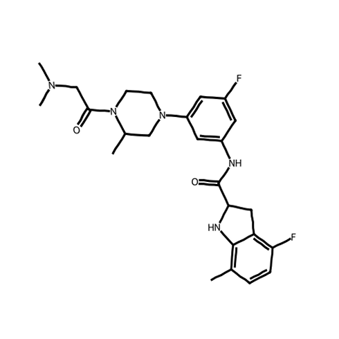 Cc1ccc(F)c2c1NC(C(=O)Nc1cc(F)cc(N3CCN(C(=O)CN(C)C)C(C)C3)c1)C2